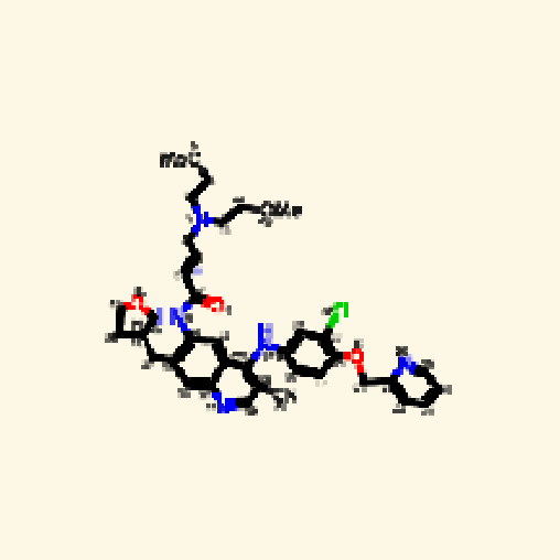 COCCN(C/C=C/C(=O)Nc1cc2c(Nc3ccc(OCc4ccccn4)c(Cl)c3)c(C#N)cnc2cc1C[C@H]1CCOC1)CCOC